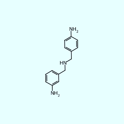 Nc1ccc(CNCc2cccc(N)c2)cc1